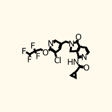 O=C(Nc1nccc2c1CN(Cc1cnc(OCC(F)(F)C(F)F)c(Cl)c1)C2=O)C1CC1